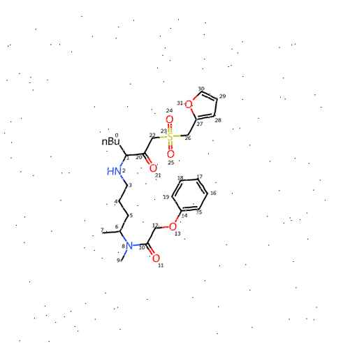 CCCCC(NCCCC(C)N(C)C(=O)COc1ccccc1)C(=O)CS(=O)(=O)Cc1ccco1